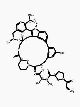 C=CC(=O)N1CC[C@H](C(=O)N(C)[C@H](C(=O)N[C@H]2Cc3cc(O)cc(c3)-c3ccc4c(c3)c(c(-c3cc(CN(C)C)cnc3[C@H](C)OC)n4CC)CC(C)(C)COC(=O)[C@@H]3CCCN(N3)C2=O)C(C)C)C1